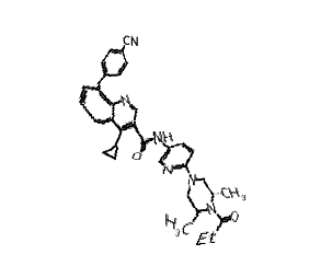 CCC(=O)N1C(C)CN(c2ccc(NC(=O)c3cnc4c(-c5ccc(C#N)cc5)cccc4c3C3CC3)cn2)C[C@@H]1C